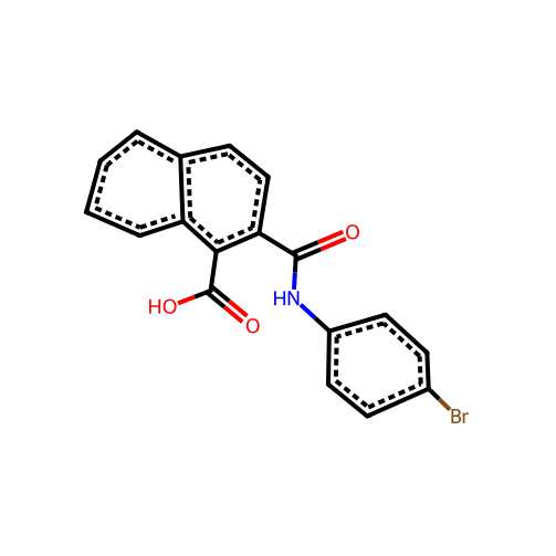 O=C(Nc1ccc(Br)cc1)c1ccc2ccccc2c1C(=O)O